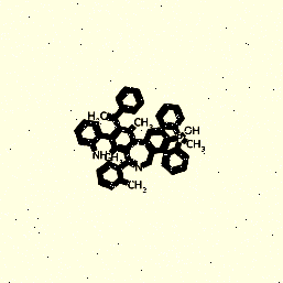 C=C(C1=C(c2ccccc2N)C(C)=C2C(C3C=CC=CC3C)=NCc3cc(P(C)(O)(c4ccccc4)c4ccccc4)ccc3C2C1C)c1ccccc1